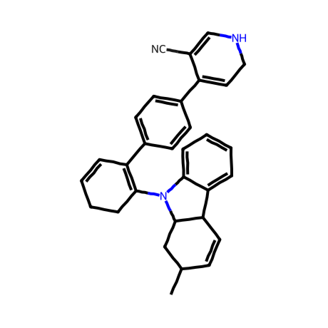 CC1C=CC2c3ccccc3N(C3=C(c4ccc(C5=CCNC=C5C#N)cc4)C=CCC3)C2C1